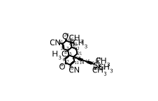 [C-]#[N+]C1=CC2(C)C3=CC(=O)C(C#N)=CC3(C#CC#C[Si](C)(C)C)CCC2C(C)(C)C1=O